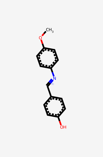 COc1ccc(/N=C/c2ccc(O)cc2)cc1